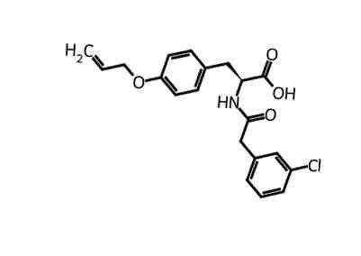 C=CCOc1ccc(C[C@H](NC(=O)Cc2cccc(Cl)c2)C(=O)O)cc1